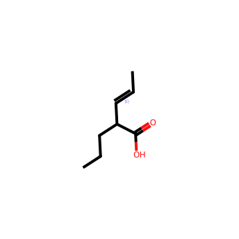 C/C=C/C(CCC)C(=O)O